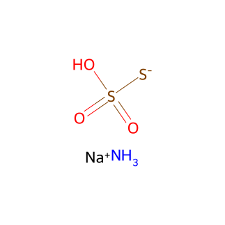 N.O=S(=O)(O)[S-].[Na+]